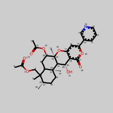 CC(=O)OCC1(C)C2C[C@@H](OC(C)=O)[C@@]3(C)Oc4cc(-c5cccnc5)oc(=O)c4[C@H](O)C3[C@@]2(C)CC[C@@H]1C